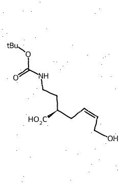 CC(C)(C)OC(=O)NCC[C@@H](C/C=C\CO)C(=O)O